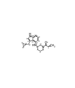 C=CC(=O)N1CCCC(Nc2ccnc3[nH]cc(CC4CC4)c23)C1